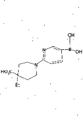 CCC1(C(=O)O)CCN(c2ccc(B(O)O)cn2)CC1